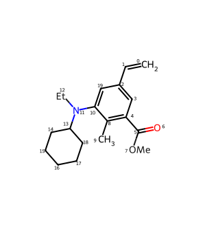 C=Cc1cc(C(=O)OC)c(C)c(N(CC)C2CCCCC2)c1